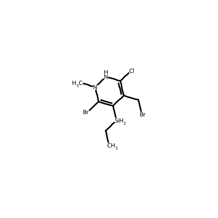 CC[SiH2]C1=C(Br)N(C)NC(Cl)=C1CBr